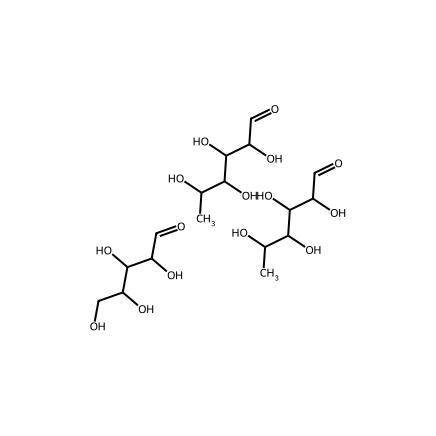 CC(O)C(O)C(O)C(O)C=O.CC(O)C(O)C(O)C(O)C=O.O=CC(O)C(O)C(O)CO